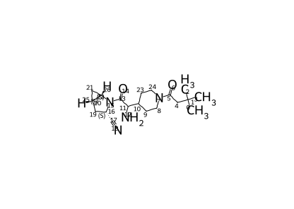 CC(C)(C)CC(=O)N1CCC(C(N)C(=O)N2[C@H](C#N)C[C@@H]3C[C@@H]32)CC1